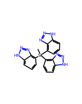 C[Si](c1cccc2[nH]nnc12)(c1cccc2[nH]nnc12)c1cccc2[nH]nnc12